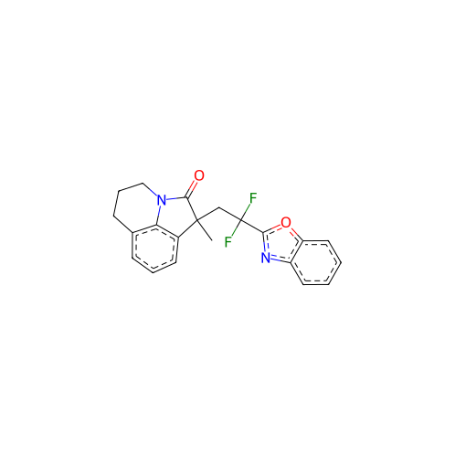 CC1(CC(F)(F)c2nc3ccccc3o2)C(=O)N2CCCc3cccc1c32